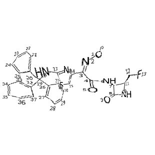 CO/N=C(\C(=O)N[C@@H]1C(=O)N[C@@H]1CF)c1csc(NC(c2ccccc2)(c2ccccc2)c2ccccc2)n1